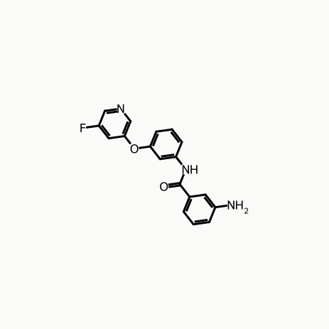 Nc1cccc(C(=O)Nc2cccc(Oc3cncc(F)c3)c2)c1